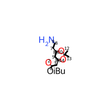 CC(C)COC(=O)C[C@H]1C[C@@H](CCN)OC(C)(C)O1